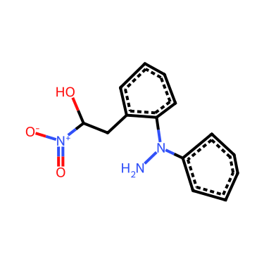 NN(c1ccccc1)c1ccccc1CC(O)[N+](=O)[O-]